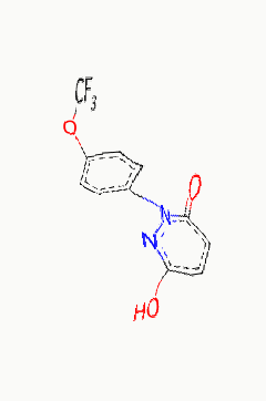 O=c1ccc(O)nn1-c1ccc(OC(F)(F)F)cc1